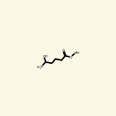 CC(C)(C)OC(=O)CCCC(N)O